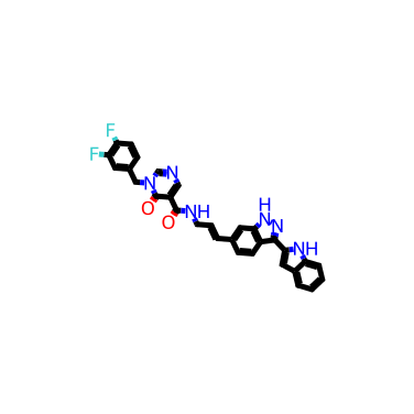 O=C(NCC=Cc1ccc2c(-c3cc4ccccc4[nH]3)n[nH]c2c1)c1cncn(Cc2ccc(F)c(F)c2)c1=O